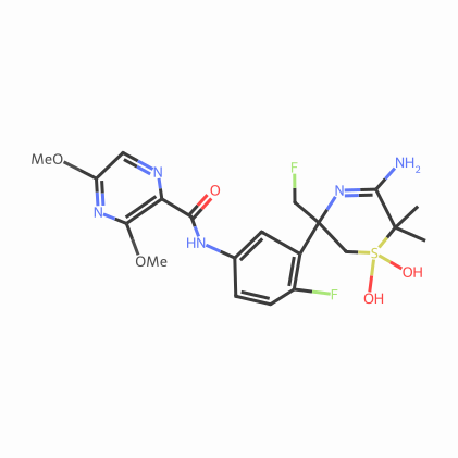 COc1cnc(C(=O)Nc2ccc(F)c(C3(CF)CS(O)(O)C(C)(C)C(N)=N3)c2)c(OC)n1